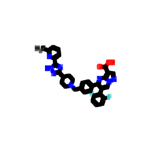 Cc1cccc(-c2nc(C3CCN(Cc4ccc(-c5nc6c(C(=O)O)cnn6cc5-c5c(F)cccc5F)cc4)CC3)n[nH]2)n1